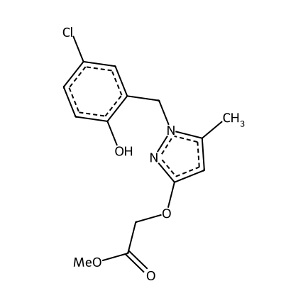 COC(=O)COc1cc(C)n(Cc2cc(Cl)ccc2O)n1